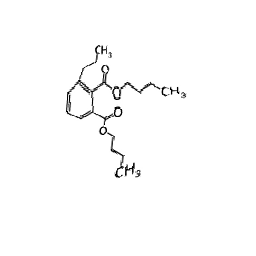 CCCCOC(=O)c1cccc(CCC)c1C(=O)OCCCC